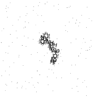 O=C(c1ccc(OC(F)(F)F)cc1)N1CCN(CC(O)CNc2c3c(nc4ccccc24)CCCC3)CC1